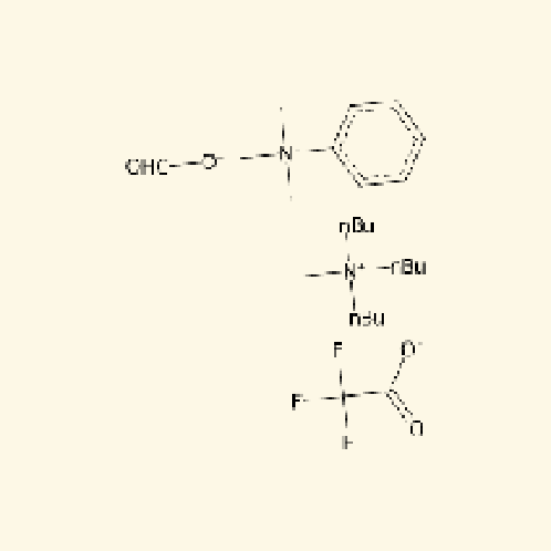 CCCC[N+](C)(CCCC)CCCC.C[N+](C)(C)c1ccccc1.O=C([O-])C(F)(F)F.O=C[O-]